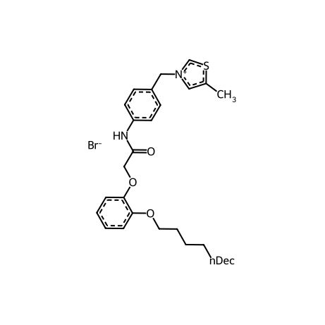 CCCCCCCCCCCCCCOc1ccccc1OCC(=O)Nc1ccc(C[n+]2csc(C)c2)cc1.[Br-]